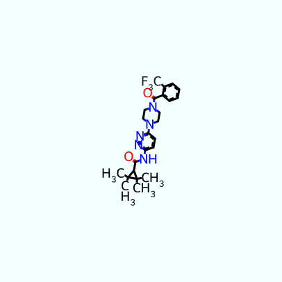 CC1(C)C(C(=O)Nc2ccc(N3CCN(C(=O)c4ccccc4C(F)(F)F)CC3)nn2)C1(C)C